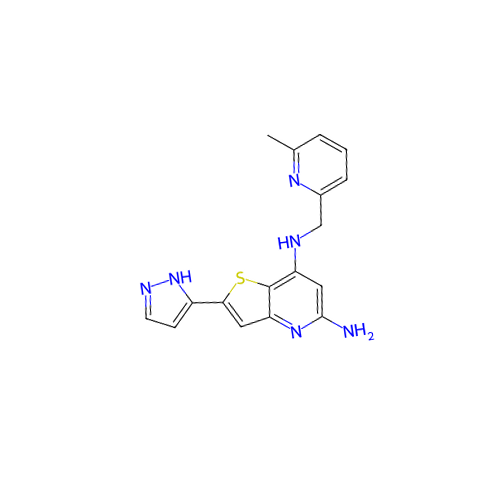 Cc1cccc(CNc2cc(N)nc3cc(-c4ccn[nH]4)sc23)n1